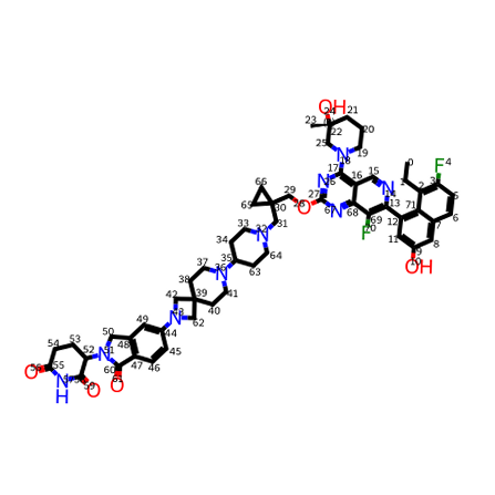 CCc1c(F)ccc2cc(O)cc(-c3ncc4c(N5CCC[C@@](C)(O)C5)nc(OCC5(CN6CCC(N7CCC8(CC7)CN(c7ccc9c(c7)CN(C7CCC(=O)NC7=O)C9=O)C8)CC6)CC5)nc4c3F)c12